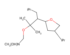 CC(C)CC(C1CC(C(C)C)CO1)C(C)(C)OCN(C)O